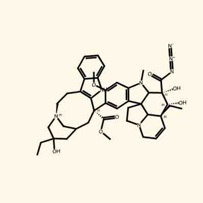 CCC1(O)CC2C[N@](CCc3c([nH]c4ccccc34)[C@@](C(=O)OC)(c3cc4c(cc3OC)N(C)C3C45CCN4CC=C[C@](CC)(C45)[C@@H](O)[C@]3(O)C(=O)N=[N+]=[N-])C2)C1